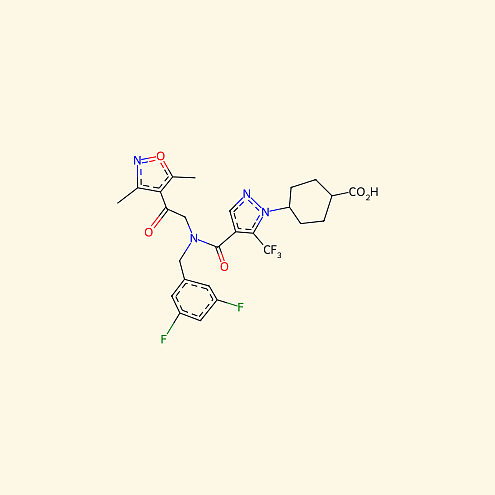 Cc1noc(C)c1C(=O)CN(Cc1cc(F)cc(F)c1)C(=O)c1cnn(C2CCC(C(=O)O)CC2)c1C(F)(F)F